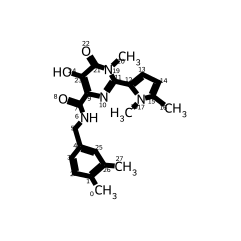 Cc1ccc(CNC(=O)c2nc(-c3ccc(C)n3C)n(C)c(=O)c2O)cc1C